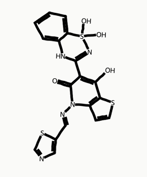 O=c1c(C2=NS(O)(O)c3ccccc3N2)c(O)c2sccc2n1/N=C/c1cncs1